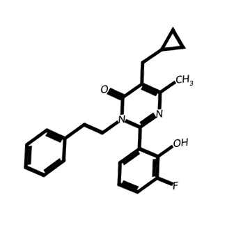 Cc1nc(-c2cccc(F)c2O)n(CCc2ccccc2)c(=O)c1CC1CC1